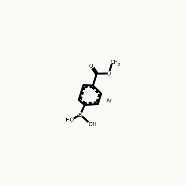 COC(=O)c1ccc(B(O)O)cc1.[Ar]